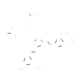 COc1ccc(C=Cc2cc(C=Cc3ccc(OC)c(OC)c3)nc(OCCCNC(=N)N)n2)cc1OC.O=C(O)C(F)(F)F